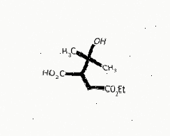 CCOC(=O)CC(C(=O)O)C(C)(C)O